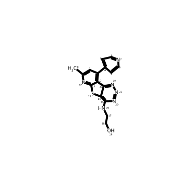 Cc1cc(-c2ccncc2)c2c(n1)sc1c(NCCO)nnnc12